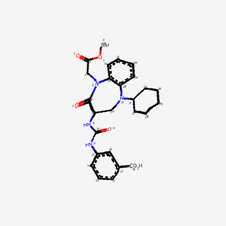 CC(C)(C)OC(=O)CN1C(=O)C(NC(=O)Nc2cccc(C(=O)O)c2)CN(C2CCCCC2)c2ccccc21